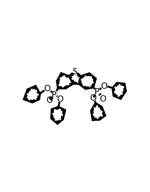 O=P(Oc1ccccc1)(Oc1ccccc1)c1ccc2sc3ccc(P(=O)(Oc4ccccc4)Oc4ccccc4)cc3c2c1